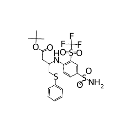 CC(C)(C)OC(=O)CC(CSc1ccccc1)Nc1ccc(S(N)(=O)=O)cc1S(=O)(=O)C(F)(F)F